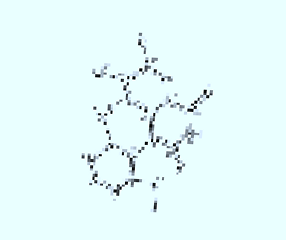 CC(C)c1ncnc(C(C)C)c1-n1c(=O)[nH]c(=O)c2cc(Cl)c(Cl)nc21